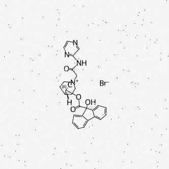 O=C(C[N+]12CCC(CC1)[C@@H](OC(=O)C1(O)c3ccccc3-c3ccccc31)C2)Nc1cnccn1.[Br-]